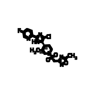 Cc1nc(CS(=O)(=O)N2CC[C@@H](c3[nH]c(-c4ccc(F)cn4)nc3Cl)[C@@H](C)C2)no1